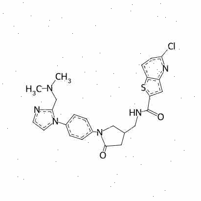 CN(C)Cc1nccn1-c1ccc(N2CC(CNC(=O)c3cc4nc(Cl)ccc4s3)CC2=O)cc1